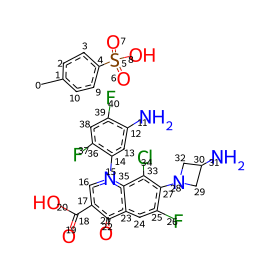 Cc1ccc(S(=O)(=O)O)cc1.Nc1cc(-n2cc(C(=O)O)c(=O)c3cc(F)c(N4CC(N)C4)c(Cl)c32)c(F)cc1F